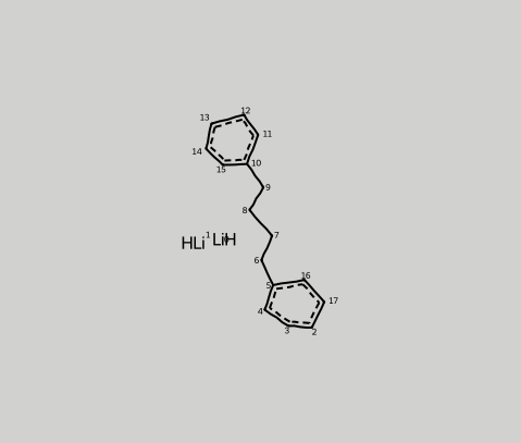 [LiH].[LiH].c1ccc(CCCCc2ccccc2)cc1